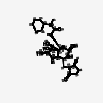 CN(C(=O)O[C@H]1CN2C(=N)NC(CN3C(=O)CCC3=O)C3NC(=N)NC32C1(O)O)C1CCCCC1